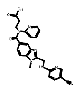 Cn1c(CNc2ccc(C#N)cn2)nc2cc(C(=O)N(CCC(=O)O)c3ccccn3)ccc21